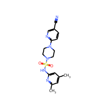 Cc1cc(C)nc(NS(=O)(=O)N2CCN(c3ccc(C#N)cn3)CC2)c1